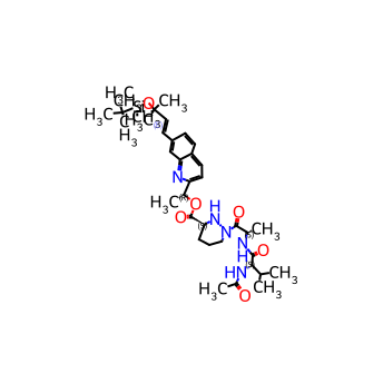 CC(=O)N[C@H](C(=O)N[C@@H](C)C(=O)N1CCC[C@@H](C(=O)O[C@H](C)c2ccc3ccc(/C=C/C(C)(C)O[Si](C)(C)C(C)(C)C)cc3n2)N1)C(C)C